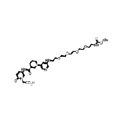 CC(C)(C)OC(=O)NCCOCCOCCOCCOCCNc1cncc(N2CCC[C@H](C(=O)Nc3ccc(=O)n(CC(=O)O)c3)C2)c1